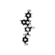 CC1CN(C(=O)Nc2ccc(C#N)cc2)CCN1c1nnc(-c2ccc(C#N)cc2)c2ccccc12.Cl